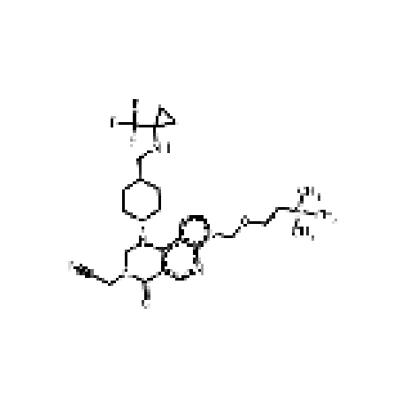 C[Si](C)(C)CCOCn1ccc2c3c(cnc21)C(=O)N(CC#N)CN3[C@H]1CC[C@H](CNC2(C(F)(F)F)CC2)CC1